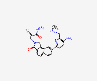 C=C(CN1Cc2c(ccc3ccc(-c4ccc(N)c(CNC)n4)cc23)C1=O)C(N)=O